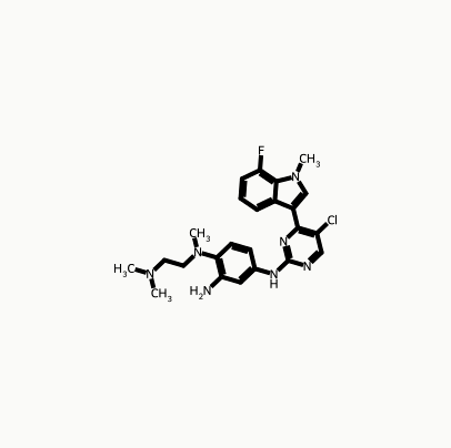 CN(C)CCN(C)c1ccc(Nc2ncc(Cl)c(-c3cn(C)c4c(F)cccc34)n2)cc1N